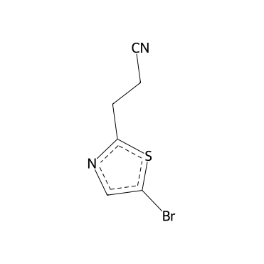 N#CCCc1ncc(Br)s1